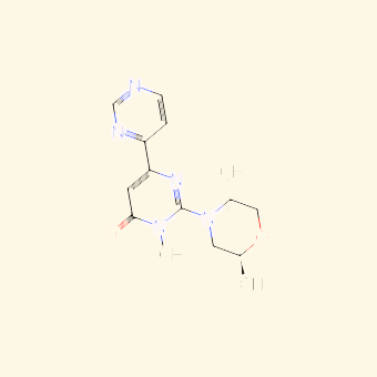 C[C@@H]1CO[C@@H](C)CN1c1nc(-c2ccncn2)cc(=O)n1C